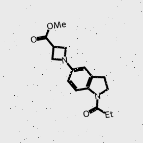 CCC(=O)N1CCc2cc(N3CC(C(=O)OC)C3)ccc21